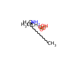 CCCCCCCCCCCCCCCCC(C)C(C)(C)N.[O-][Cl+3]([O-])([O-])O